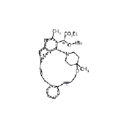 CCOC(=O)[C@@H](OC(C)(C)C)c1c(C)nc2cc3nn2c1N1CCC(C)(CC1)OC/C=C/c1ccccc1CC=C3